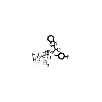 CC(C)(C)OC(=O)N[C@@H](Cc1ccc(F)cc1)C(=O)c1nc2ccccc2s1